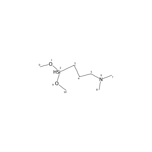 CO[SiH]([CH]CCN(C)C)OC